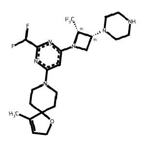 CC1=CCOC12CCN(c1cc(N3C[C@@H](N4CCNCC4)[C@H]3C)nc(C(F)F)n1)CC2